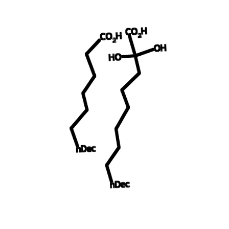 CCCCCCCCCCCCCCCC(=O)O.CCCCCCCCCCCCCCCCC(O)(O)C(=O)O